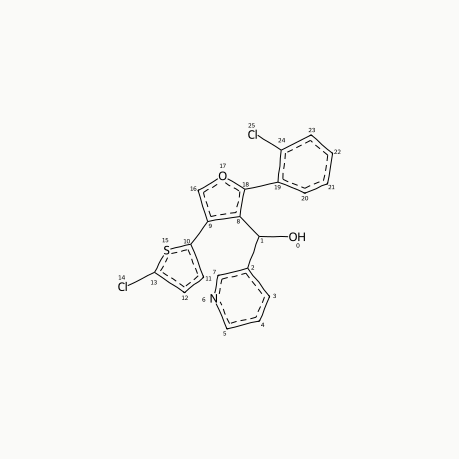 OC(c1cccnc1)c1c(-c2ccc(Cl)s2)coc1-c1ccccc1Cl